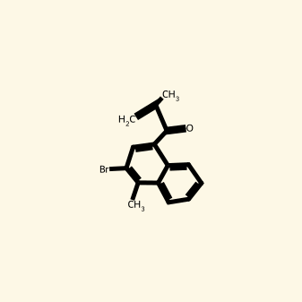 C=C(C)C(=O)c1cc(Br)c(C)c2ccccc12